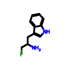 NC(CF)Cc1c[nH]c2ccccc12